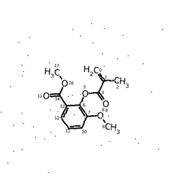 C=C(C)C(=O)Oc1c(OC)cccc1C(=O)OC